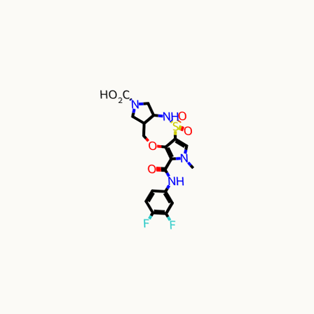 Cn1cc2c(c1C(=O)Nc1ccc(F)c(F)c1)OCC1CN(C(=O)O)CC1NS2(=O)=O